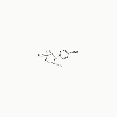 COc1ccc([C@H]2OC(C)(C)OC[C@H]2N)cc1